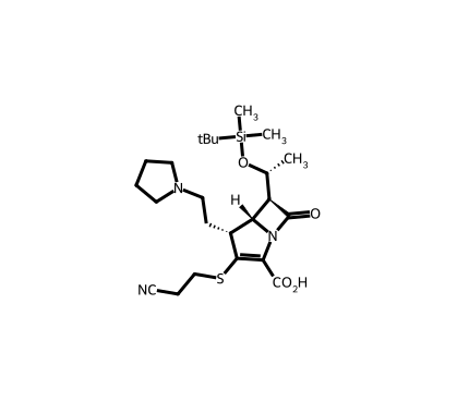 C[C@@H](O[Si](C)(C)C(C)(C)C)[C@H]1C(=O)N2C(C(=O)O)=C(SCCC#N)[C@H](CCN3CCCC3)[C@H]12